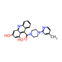 Cc1ccnc(N2CCN(C(=O)c3c4ccccc4nc4cc(O)cc(O)c34)CC2)c1